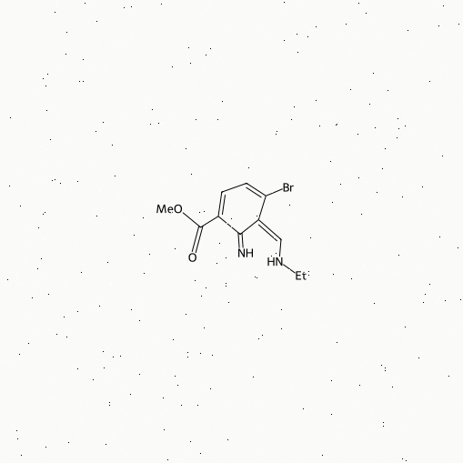 CCN/C=C1\C(=N)C(C(=O)OC)=CC=C1Br